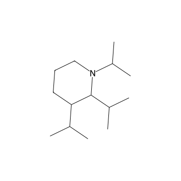 CC(C)C1CCCN(C(C)C)C1C(C)C